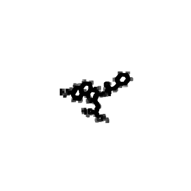 CC(C)Cc1nc2c(nc1NC(=O)CC1CCCCC1)CCc1cc(N)ccc1-2